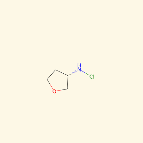 ClN[C@H]1CCOC1